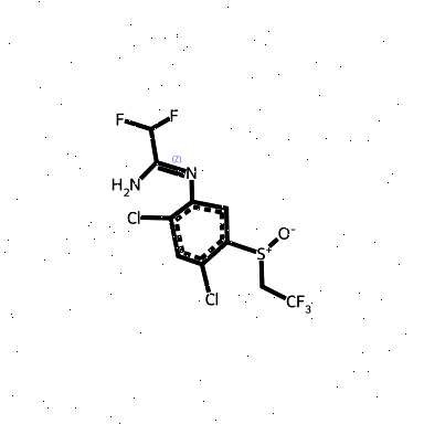 N/C(=N\c1cc([S+]([O-])CC(F)(F)F)c(Cl)cc1Cl)C(F)F